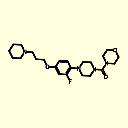 O=C(N1CCOCC1)N1CCN(c2ccc(OCCCN3CCCCC3)cc2F)CC1